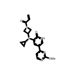 C=CC(=O)N1CC(N(c2cc(-c3ccnc(OC)n3)c[nH]c2=O)C2CC2)C1